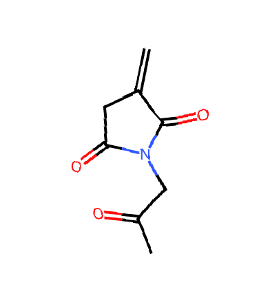 C=C1CC(=O)N(CC(C)=O)C1=O